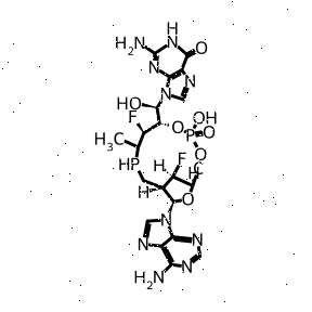 CC1PC[C@@H]2[C@@H](F)[C@@H](COP(=O)(O)O[C@@H]([C@@H](O)n3cnc4c(=O)[nH]c(N)nc43)[C@@H]1F)O[C@H]2n1cnc2c(N)ncnc21